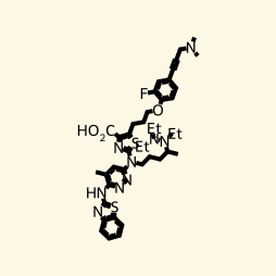 CCN(CC)N(CC)C(C)CCCN(c1cc(C)c(Nc2nc3ccccc3s2)nn1)c1nc(C(=O)O)c(CCCOc2ccc(C#CCN(C)C)cc2F)s1